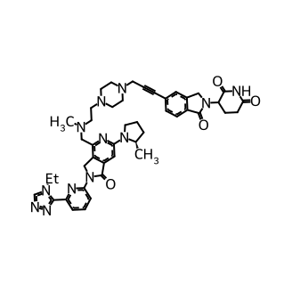 CCn1cnnc1-c1cccc(N2Cc3c(cc(N4CCC[C@H]4C)nc3CN(C)CCN3CCN(CC#Cc4ccc5c(c4)CN(C4CCC(=O)NC4=O)C5=O)CC3)C2=O)n1